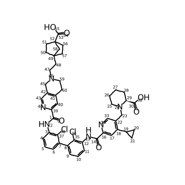 O=C(Nc1cccc(-c2cccc(NC(=O)c3cc(C4CC4)c(CN4CCCC[C@H]4C(=O)O)cn3)c2Cl)c1Cl)c1cc2c(cn1)CN(CCC13CCC(C(=O)O)(CC1)C3)CC2